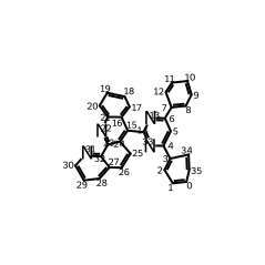 c1ccc(-c2cc(-c3ccccc3)nc(-c3c4ccccc4nc4c3ccc3cccnc34)n2)cc1